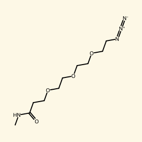 CNC(=O)CCOCCOCCOCCN=[N+]=[N-]